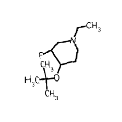 CCN1CCC(OC(C)(C)C)C(F)C1